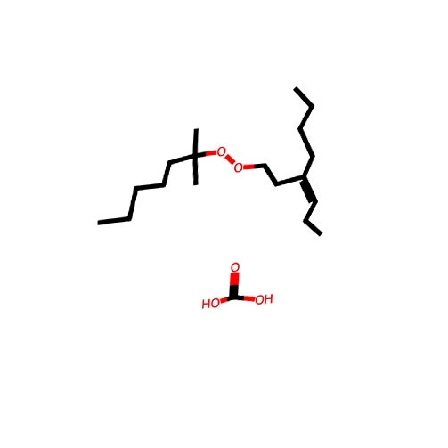 CCC=C(CCCC)CCOOC(C)(C)CCCCC.O=C(O)O